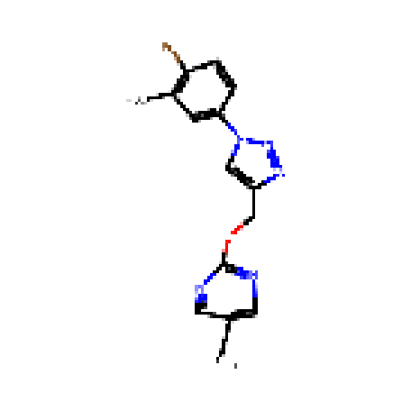 Cc1cnc(OCc2cn(-c3ccc(Br)c(C)c3)nn2)nc1